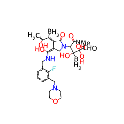 B/C(C(=C)O)=C1\C(=O)N(C(C(=O)NC)C(B)(O)C(O)(O)C=O)C\C1=C(\O)NCc1cccc(CN2CCOCC2)c1F